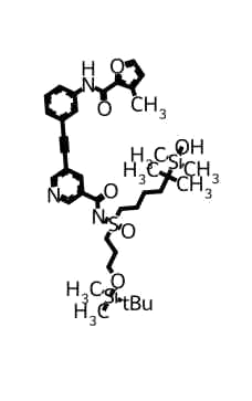 Cc1ccoc1C(=O)Nc1cccc(C#Cc2cncc(C(=O)N=S(=O)(CCCCC(C)(C)[Si](C)(C)O)CCCO[Si](C)(C)C(C)(C)C)c2)c1